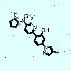 CN(c1ccc(-c2ccc(-n3cc(F)cn3)cc2O)nn1)[C@H]1CC=C[C@H]1F